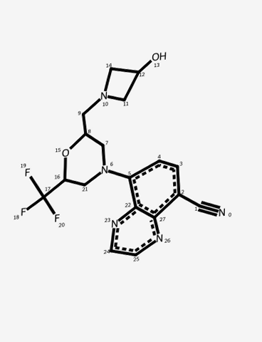 N#Cc1ccc(N2CC(CN3CC(O)C3)OC(C(F)(F)F)C2)c2nccnc12